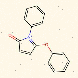 O=C1C=CC(Oc2ccccc2)=[N+]1c1ccccc1